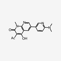 CC(=O)c1c(O)c2cc(-c3ccc(N(C)C)nc3)cnc2n(C)c1=O